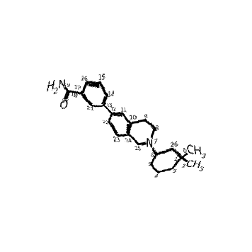 CC1(C)CCCC(N2CCc3cc(-c4cccc(C(N)=O)c4)ccc3C2)C1